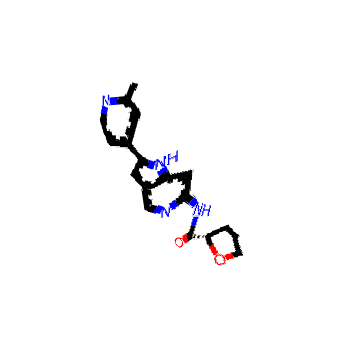 Cc1cc(-c2cc3cnc(NC(=O)[C@@H]4CCCO4)cc3[nH]2)ccn1